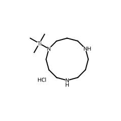 Cl.[CH3][Ti]([CH3])([CH3])[N]1CCCNCCCNCCC1